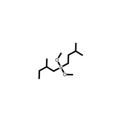 CCC(C)C[Si](CCC(C)C)(OC)OC